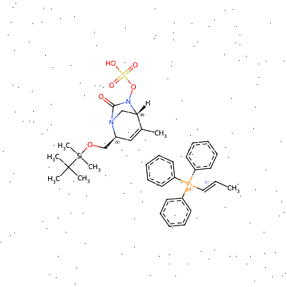 C/C=C/[PH](c1ccccc1)(c1ccccc1)c1ccccc1.CC1=C[C@@H](CO[Si](C)(C)C(C)(C)C)N2C[C@@H]1N(OS(=O)(=O)O)C2=O